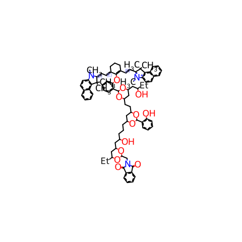 CCC(O)CC1CC(CCC2CC(CCCC(O)CC3CC(CC)OC(CN4C(=O)c5ccccc5C4=O)O3)OC(c3ccccc3O)O2)OC(c2ccccc2OC2=C(/C=C/C3=[N+](C)c4ccc5ccccc5c4C3(C)C)CCC/C2=C\C=C2\N(C)c3ccc4ccccc4c3C2(C)C)O1